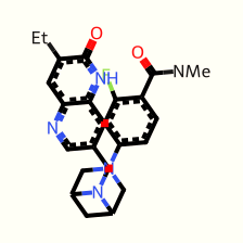 CCc1cc2ncc(CN3C4CC3CN(c3ccc(C(=O)NC)c(F)c3)C4)cc2[nH]c1=O